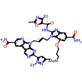 CCc1nc(C)oc1C(=O)Nc1nc2cc(C(N)=O)cc(OCCCNC)c2n1C/C=C/Cn1c2ncc(C(N)=O)cc2c2cnc(-c3cc(C)nn3CC)nc21